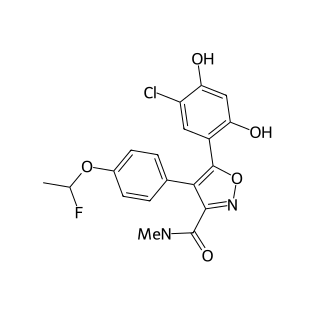 CNC(=O)c1noc(-c2cc(Cl)c(O)cc2O)c1-c1ccc(OC(C)F)cc1